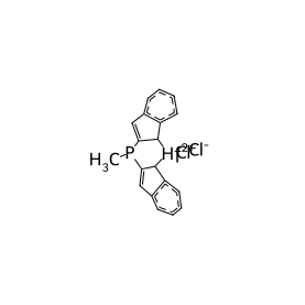 CP1C2=Cc3ccccc3[CH]2[Hf+2][CH]2C1=Cc1ccccc12.[Cl-].[Cl-]